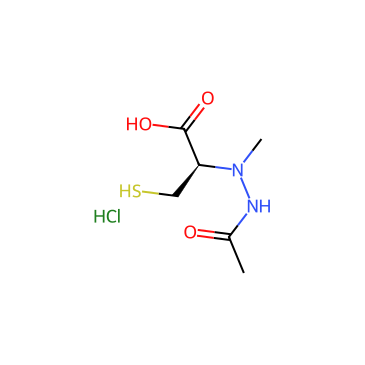 CC(=O)NN(C)[C@@H](CS)C(=O)O.Cl